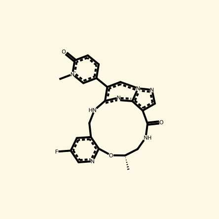 C[C@H]1CNC(=O)c2cnn3cc(-c4ccc(=O)n(C)c4)c(nc23)NCc2cc(F)cnc2O1